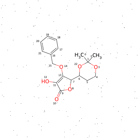 CC1(C)OCCC(C2OC(=O)C(O)=C2OCc2ccccc2)O1